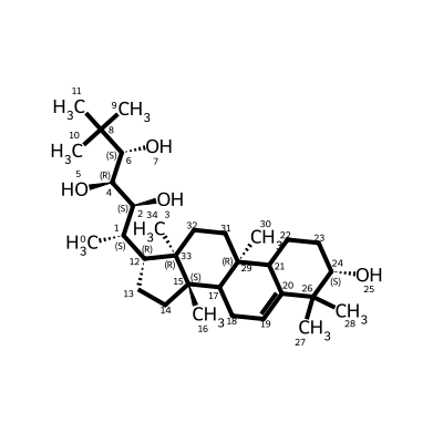 C[C@H]([C@H](O)[C@@H](O)[C@@H](O)C(C)(C)C)[C@H]1CC[C@@]2(C)C3CC=C4C(CC[C@H](O)C4(C)C)[C@]3(C)CC[C@]12C